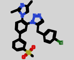 Cc1cn(-c2ccc(-c3cccc(S(C)(=O)=O)c3)cc2-n2nncc2Cc2ccc(Cl)cc2)c(C)n1